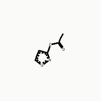 CC(=O)Oc1ccon1